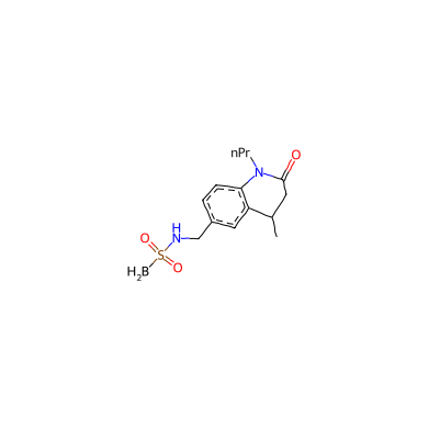 BS(=O)(=O)NCc1ccc2c(c1)C(C)CC(=O)N2CCC